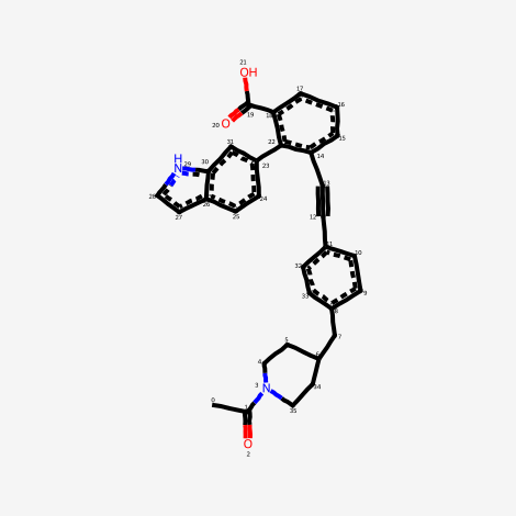 CC(=O)N1CCC(Cc2ccc(C#Cc3cccc(C(=O)O)c3-c3ccc4cc[nH]c4c3)cc2)CC1